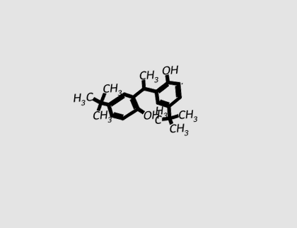 CC(c1cc(C(C)(C)C)c[c]c1O)c1cc(C(C)(C)C)ccc1O